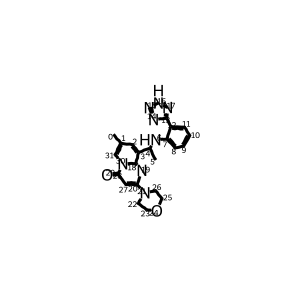 Cc1cc(C(C)Nc2ccccc2-c2nn[nH]n2)c2nc(N3CCOCC3)cc(=O)n2c1